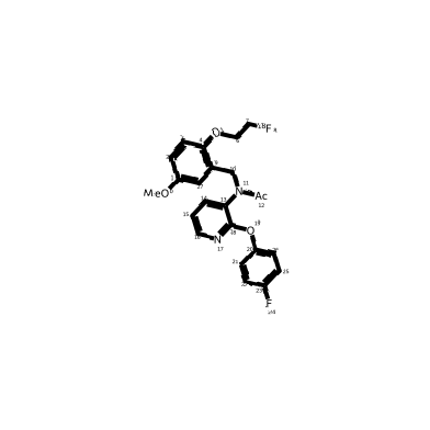 COc1ccc(OCC[18F])c(CN(C(C)=O)c2cccnc2Oc2ccc(F)cc2)c1